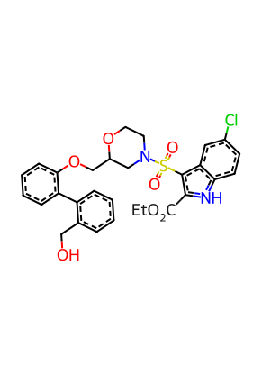 CCOC(=O)c1[nH]c2ccc(Cl)cc2c1S(=O)(=O)N1CCOC(COc2ccccc2-c2ccccc2CO)C1